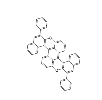 c1ccc(-c2cc3ccccc3c3c2oc2cccc4c2c3c2cccc3oc5c(-c6ccccc6)cc6ccccc6c5c4c32)cc1